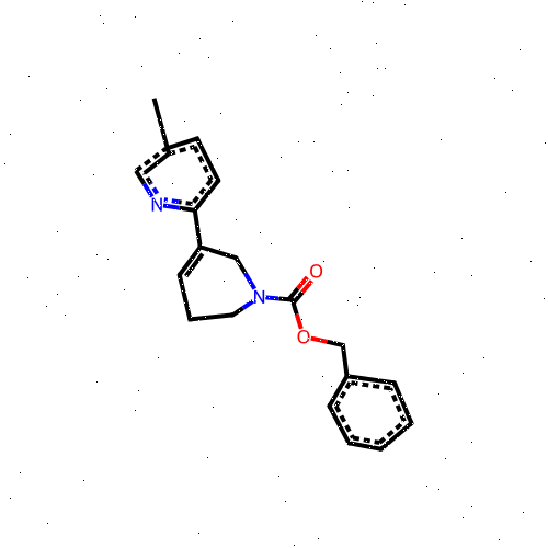 Cc1ccc(C2=CCCN(C(=O)OCc3ccccc3)C2)nc1